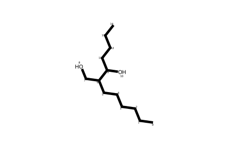 CCCCCCC(CO)C(O)CCCC